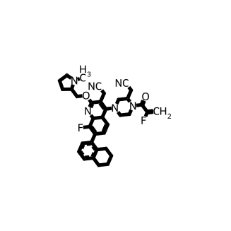 C=C(F)C(=O)N1CCN(C2=C(CC#N)C(OCC3CCCN3C)=NC3C(F)=C(c4cccc5c4CCCC5)C=CC23)CC1CC#N